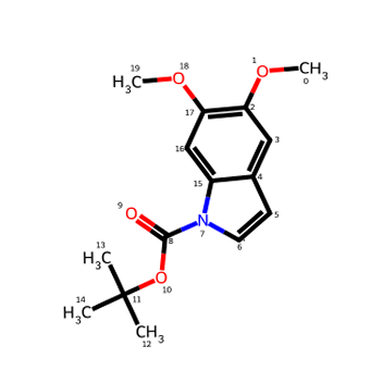 COc1cc2c[c]n(C(=O)OC(C)(C)C)c2cc1OC